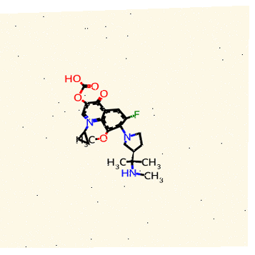 CNC(C)(C)[C@@H]1CCN(c2c(F)cc3c(=O)c(OC(=O)O)cn(C4CC4)c3c2OC)C1